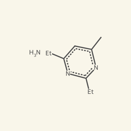 CCc1cc(C)nc(CC)n1.N